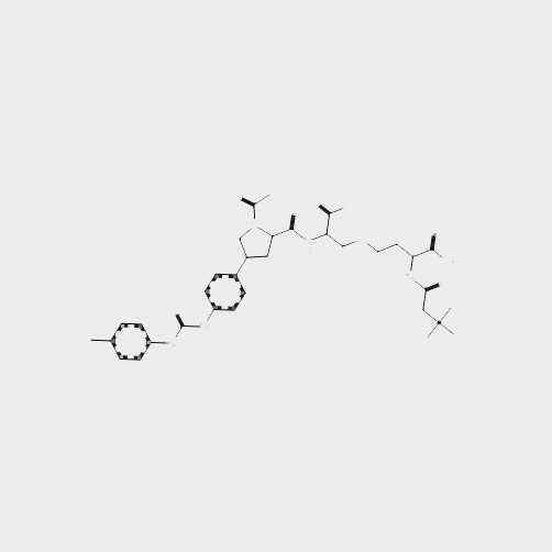 CC(=O)N1CC(c2ccc(NC(=O)Nc3ccc(C)cc3)cc2)CC1C(=O)NC(COCCC(NC(=O)CC(C)(C)C)C(=O)O)C(=O)O